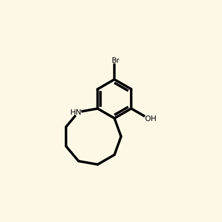 Oc1cc(Br)cc2c1CCCCCCN2